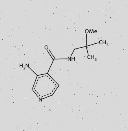 COC(C)(C)CNC(=O)c1ccncc1N